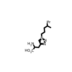 CC(C)C(C)CCCn1cc(CC(N)C(=O)O)nn1